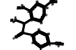 COc1ccc(C(=O)C(C)c2ccc(OC)cc2OC)cc1